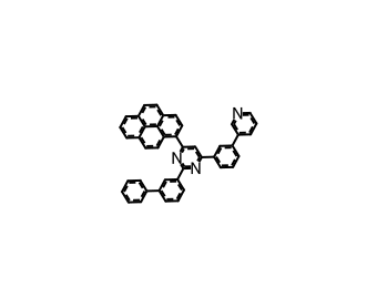 c1ccc(-c2cccc(-c3nc(-c4cccc(-c5cccnc5)c4)cc(-c4ccc5ccc6cccc7ccc4c5c67)n3)c2)cc1